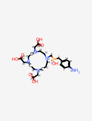 Nc1ccc(CP(O)CN2CCCN(CC(=O)O)CCN(CC(=O)O)CCN(CC(=O)O)CC2)cc1